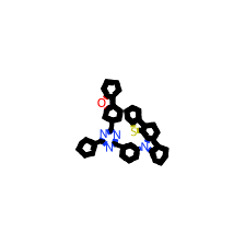 c1ccc(-c2nc(-c3cccc(-n4c5ccccc5c5ccc6c7ccccc7sc6c54)c3)nc(-c3ccc4c(c3)oc3ccccc34)n2)cc1